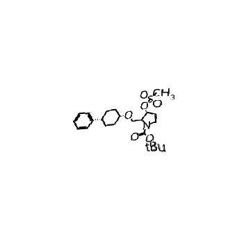 CC(C)(C)OC(=O)N1CC[C@@H](OS(C)(=O)=O)[C@@H]1CO[C@H]1CC[C@@H](c2ccccc2)CC1